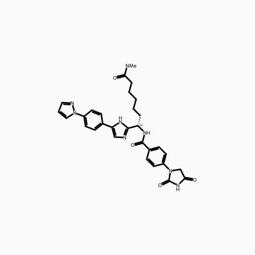 CNC(=O)CCCCC[C@H](NC(=O)c1ccc(N2CC(=O)NC2=O)cc1)c1ncc(-c2ccc(-n3cccn3)cc2)[nH]1